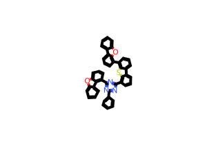 c1ccc(-c2nc(-c3cccc4c3sc3c(-c5cccc6c5oc5ccccc56)cccc34)nc(-c3cccc4oc5ccccc5c34)n2)cc1